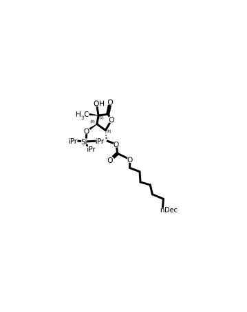 CCCCCCCCCCCCCCCCOC(=O)OC[C@H]1OC(=O)[C@@](C)(O)[C@@H]1O[Si](C(C)C)(C(C)C)C(C)C